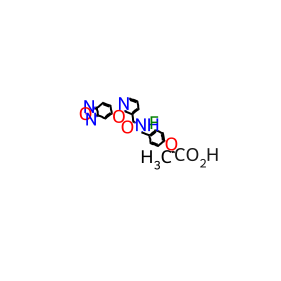 C[C@@H](Oc1ccc(CNC(=O)c2cccnc2Oc2ccc3nonc3c2)c(F)c1)C(=O)O